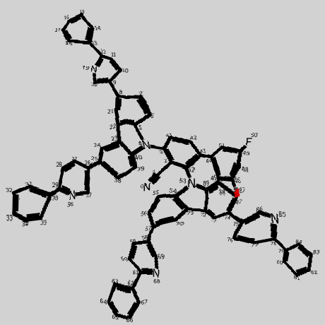 N#Cc1c(-n2c3ccc(-c4ccc(-c5ccccc5)nc4)cc3c3cc(-c4ccc(-c5ccccc5)nc4)ccc32)ccc(-c2cc(F)cc(F)c2)c1-n1c2ccc(-c3ccc(-c4ccccc4)nc3)cc2c2cc(-c3ccc(-c4ccccc4)nc3)ccc21